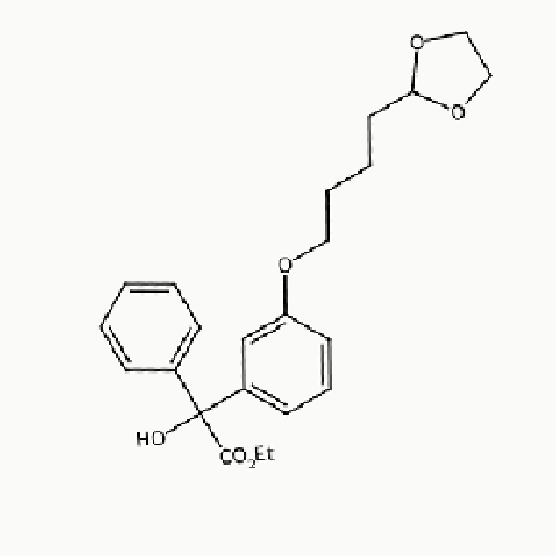 CCOC(=O)C(O)(c1ccccc1)c1cccc(OCCCCC2OCCO2)c1